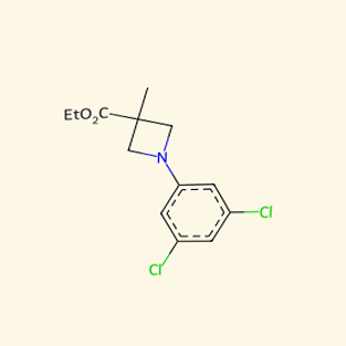 CCOC(=O)C1(C)CN(c2cc(Cl)cc(Cl)c2)C1